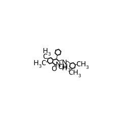 Cc1cc(C)cc(CNCc2c(-c3ccccc3)c3cc(C)c(C)cc3c(=O)n2C)c1